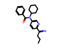 C[CH]CC(=N)c1ccc(N(C(=O)c2ccccc2)C2CCCCC2)cn1